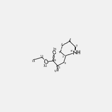 C=C(CC1CCCCN1)C(=O)OCC